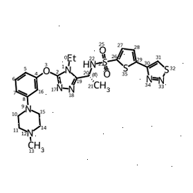 CCn1c(Oc2cccc(N3CCN(C)CC3)c2)nnc1[C@@H](C)NS(=O)(=O)c1ccc(-c2csnn2)s1